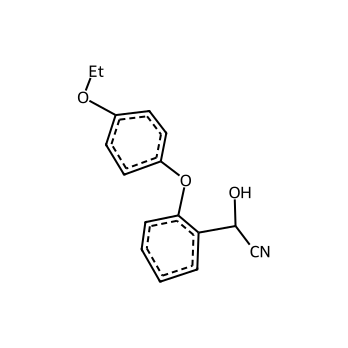 CCOc1ccc(Oc2ccccc2C(O)C#N)cc1